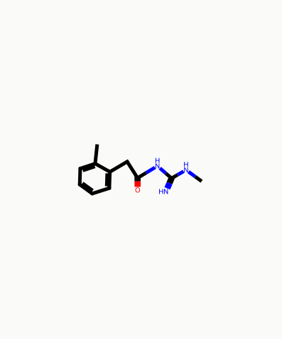 CNC(=N)NC(=O)Cc1ccccc1C